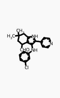 CC1(C)Cc2[nH]c(-c3ccncc3)c(Nc3cccc(Cl)c3)c2C(C=O)C1